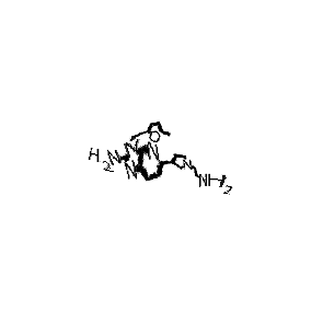 Cc1ccc(Cn2c(N)nc3ccc(C4CCN(CCN)C4)nc32)o1